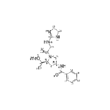 COC(=O)[C@@H]1C[C@@H](NC(=O)c2ccccc2)CN1C(=O)CNC1=NCCN1